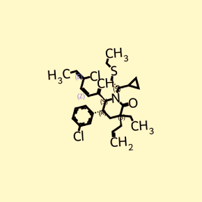 C=CC[C@@]1(CC)C[C@H](c2cccc(Cl)c2)[C@@H](C(=C)/C=C\C(Cl)=C/C)N([C@H](CSCC)C2CC2)C1=O